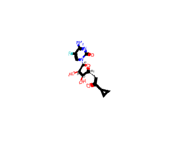 Nc1nc(=O)n([C@@H]2O[C@H](CC(=O)C3CC3)[C@@H](O)[C@H]2O)cc1F